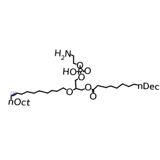 CCCCCCCC/C=C\CCCCCCCCOC(COC(=O)CCCCCCCCCCCCCCCCC)COP(=O)(O)OCCN